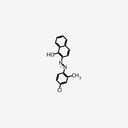 Cc1cc(Cl)ccc1/N=N/c1ccc2ccccc2c1O